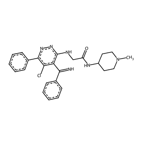 CN1CCC(NC(=O)CNc2nnc(-c3ccccc3)c(Cl)c2C(=N)c2ccccc2)CC1